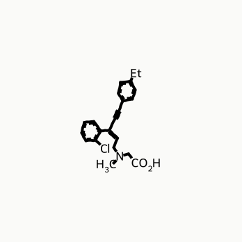 CCc1ccc(C#C/C(=C/CN(C)CC(=O)O)c2ccccc2Cl)cc1